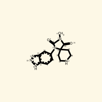 CN1C(=O)N(c2ccc3[nH]nnc3c2)C2(CCNCC2)C1=O